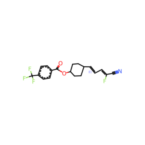 N#CC(F)=C/C=C/C1CCC(OC(=O)c2ccc(C(F)(F)F)cc2)CC1